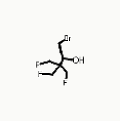 OC(CBr)C(CF)(CF)CF